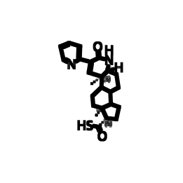 C[C@]12CCC3C(CC[C@H]4NC(=O)C(c5ccccn5)=C[C@]34C)C1CC[C@@H]2C(=O)S